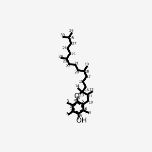 Cc1c(C)c2c(c(C)c1O)CC(C)C(C)(CCCC(C)CCCC(C)CCCC(C)C)O2